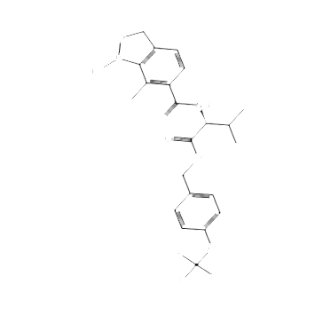 Cc1c(C(=O)N[C@H](C(=O)OCc2ccc(OC(F)(F)F)cc2)C(C)C)ccc2c1B(O)OC2